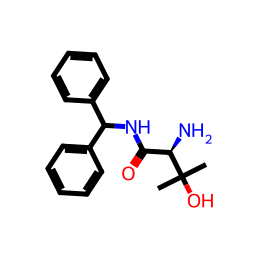 CC(C)(O)[C@H](N)C(=O)NC(c1ccccc1)c1ccccc1